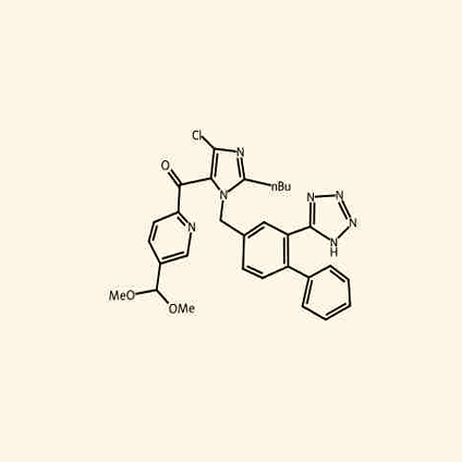 CCCCc1nc(Cl)c(C(=O)c2ccc(C(OC)OC)cn2)n1Cc1ccc(-c2ccccc2)c(-c2nnn[nH]2)c1